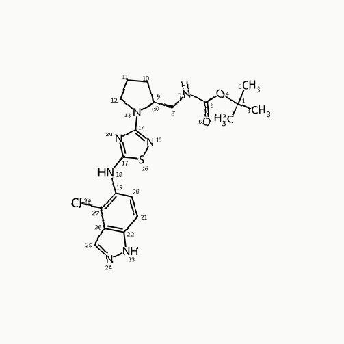 CC(C)(C)OC(=O)NC[C@@H]1CCCN1c1nsc(Nc2ccc3[nH]ncc3c2Cl)n1